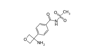 CS(=O)(=O)NC(=O)c1ccc(C2(N)COC2)cc1